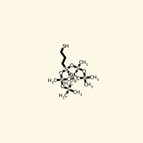 C[Si](C)(C)O[Si](C)(C)O[Si](C)(CCCS)O[Si](C)(C)O[Si](C)(C)C